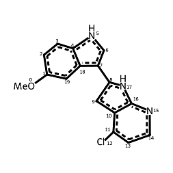 COc1ccc2[nH]cc(-c3cc4c(Cl)ccnc4[nH]3)c2c1